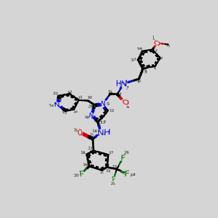 COc1ccc(CNC(=O)Cn2cc(NC(=O)c3cc(F)cc(C(F)(F)F)c3)nc2Cc2ccncc2)cc1